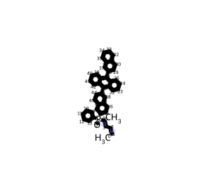 C/C=C\C=C(/C)P(=O)(c1ccccc1)c1ccc2cc(-c3c4ccccc4c(-c4ccc5ccccc5c4)c4ccccc34)ccc2c1